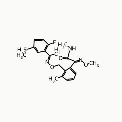 CNC(=O)/C(=N/OC)c1cccc(C)c1CO/N=C(\C)c1cc([SiH2]C)ccc1F